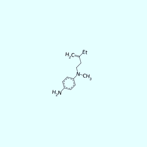 C=C(CC)CCN(C)c1ccc(N)cc1